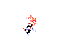 CO[C@](CN)(COP(=O)(O)OP(=O)(O)OP(=O)(O)O)[C@@H](CO)Cn1ccc(N)nc1=O